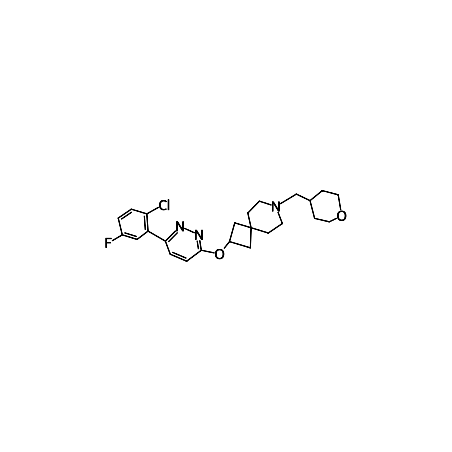 Fc1ccc(Cl)c(-c2ccc(OC3CC4(CCN(CC5CCOCC5)CC4)C3)nn2)c1